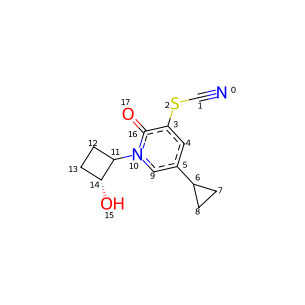 N#CSc1cc(C2CC2)cn(C2CC[C@H]2O)c1=O